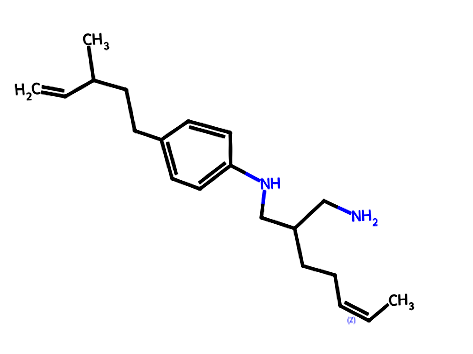 C=CC(C)CCc1ccc(NCC(CN)CC/C=C\C)cc1